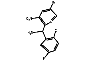 NC(c1cc(F)ccc1Cl)c1ncc(Br)cc1[N+](=O)[O-]